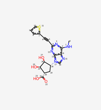 CNc1nc(C#Cc2cccs2)nc2c1ncn2[C@@H]1C[C@H](C(=O)O)[C@@H](O)[C@H]1O